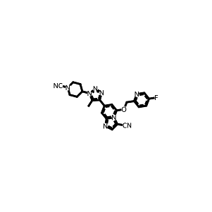 Cc1c(-c2cc(OCc3ccc(F)cn3)n3c(C#N)cnc3c2)nnn1C1CCN(C#N)CC1